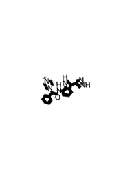 CN1CCN(C(C(=O)Nc2cccc3c(-c4cn[nH]c4)c[nH]c23)c2ccccc2)CC1